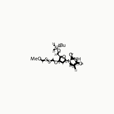 COCSSCOC1C[C@H](n2cc(C)c(=O)[nH]c2=O)O[C@@H]1CO[Si](C)(C)C(C)(C)C